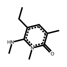 CCc1cc(C)c(=O)n(C)c1NC